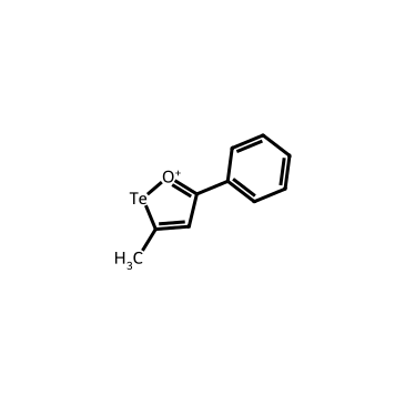 Cc1cc(-c2ccccc2)[o+][te]1